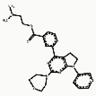 CN(C)CCOC(=O)c1cccc(-c2nc(N3CCOCC3)nc3c2CCN3c2cccnc2)c1